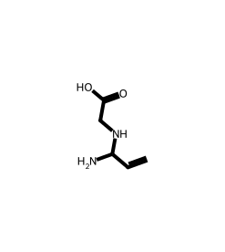 C=CC(N)NCC(=O)O